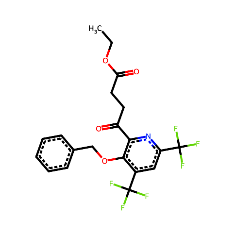 CCOC(=O)CCC(=O)c1nc(C(F)(F)F)cc(C(F)(F)F)c1OCc1ccccc1